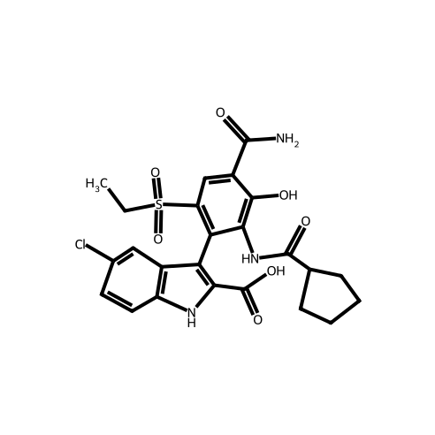 CCS(=O)(=O)c1cc(C(N)=O)c(O)c(NC(=O)C2CCCC2)c1-c1c(C(=O)O)[nH]c2ccc(Cl)cc12